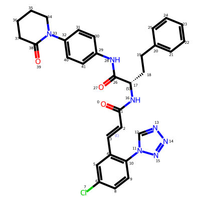 O=C(/C=C/c1cc(Cl)ccc1-n1cnnn1)N[C@@H](CCc1ccccc1)C(=O)Nc1ccc(N2CCCCC2=O)cc1